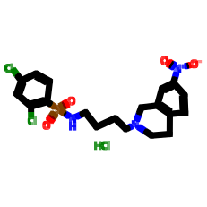 Cl.O=[N+]([O-])c1ccc2c(c1)CN(CCCCNS(=O)(=O)c1ccc(Cl)cc1Cl)CC2